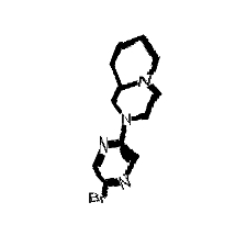 Brc1cnc(N2CCN3CCCCC3C2)cn1